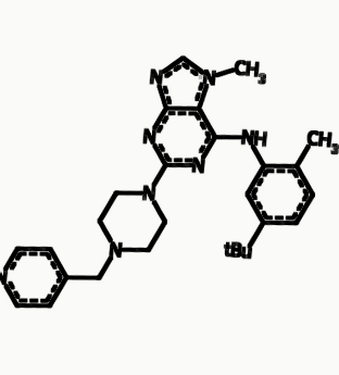 Cc1ccc(C(C)(C)C)cc1Nc1nc(N2CCN(Cc3ccncc3)CC2)nc2ncn(C)c12